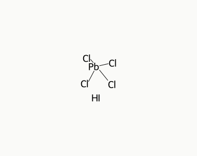 I.[Cl][Pb]([Cl])([Cl])[Cl]